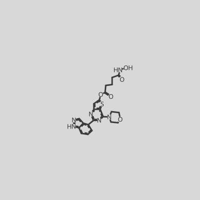 O=C(CCCC(=O)Oc1cc2nc(-c3cccc4[nH]ncc34)nc(N3CCOCC3)c2s1)NO